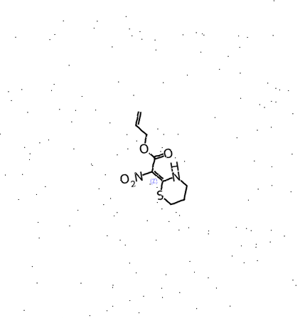 C=CCOC(=O)/C(=C1\NCCCS1)[N+](=O)[O-]